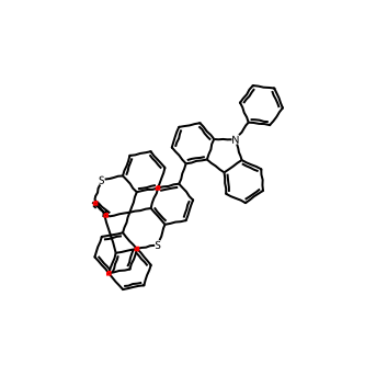 c1ccc(-c2cccc3c2C2(c4ccccc4Sc4ccc(-c5cccc6c5c5ccccc5n6-c5ccccc5)cc42)c2ccccc2S3)cc1